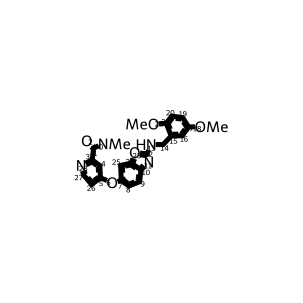 CNC(=O)c1cc(Oc2ccc3nc(NCc4cc(OC)ccc4OC)oc3c2)ccn1